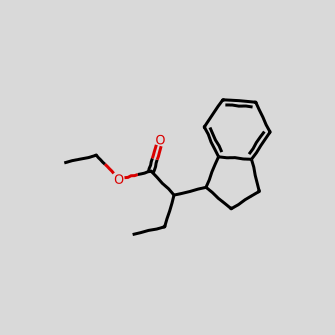 CCOC(=O)C(CC)C1CCc2ccccc21